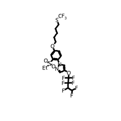 CCS(=O)(=O)c1cc(OCCCCCSC(F)(F)F)ccc1-n1cc(OC(F)(F)C(F)(F)C(F)C(F)F)cn1